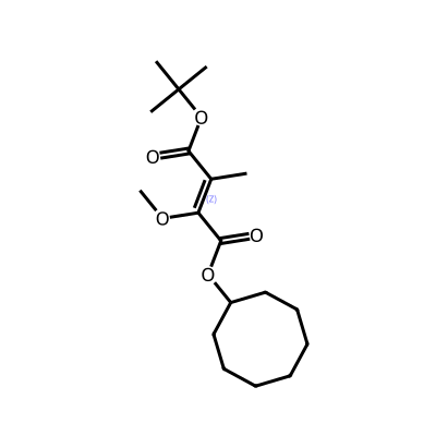 CO/C(C(=O)OC1CCCCCCC1)=C(/C)C(=O)OC(C)(C)C